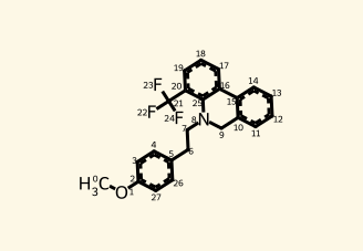 COc1ccc(CCN2Cc3ccccc3-c3cccc(C(F)(F)F)c32)cc1